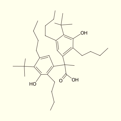 CCCCc1cc(C(C)(C(=O)O)c2cc(CCCC)c(C(C)(C)C)c(O)c2CCCC)c(CCCC)c(O)c1C(C)(C)C